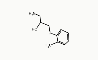 NCC(O)COc1ccccc1C(F)(F)F